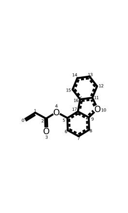 C=CC(=O)Oc1cccc2oc3ccccc3c12